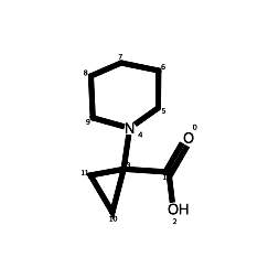 O=C(O)C1(N2CCCCC2)CC1